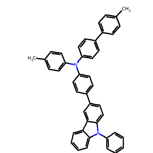 Cc1ccc(-c2ccc(N(c3ccc(C)cc3)c3ccc(-c4ccc5c(c4)c4ccccc4n5-c4ccccc4)cc3)cc2)cc1